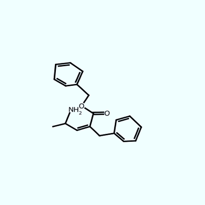 CC(N)C=C(Cc1ccccc1)C(=O)OCc1ccccc1